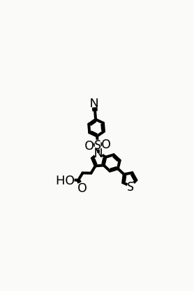 N#Cc1ccc(S(=O)(=O)n2cc(CCC(=O)O)c3cc(-c4ccsc4)ccc32)cc1